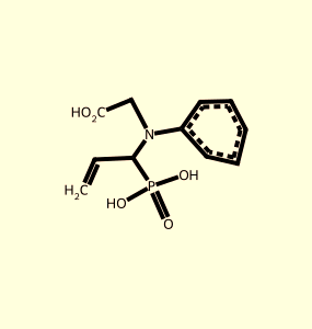 C=CC(N(CC(=O)O)c1ccccc1)P(=O)(O)O